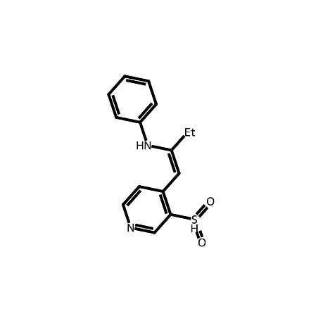 CC/C(=C/c1ccncc1[SH](=O)=O)Nc1ccccc1